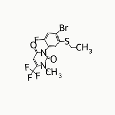 CCSc1cc(-n2c(=O)cc(C(F)(F)F)n(C)c2=O)c(F)cc1Br